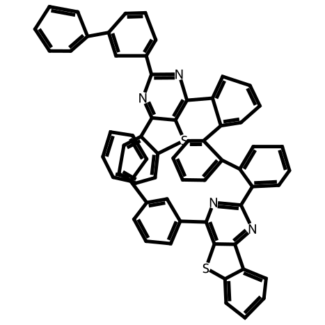 c1ccc(-c2cccc(-c3nc(-c4ccccc4-c4ccccc4-c4ccccc4-c4nc(-c5cccc(-c6ccccc6)c5)c5sc6ccccc6c5n4)c4sc5ccccc5c4n3)c2)cc1